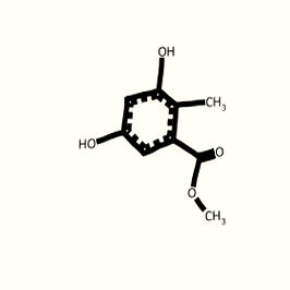 COC(=O)c1cc(O)cc(O)c1C